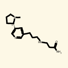 CN1CCC[C@H]1c1cncc(CCCNCCC(N)=O)c1